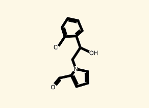 O=Cc1cccn1CC(O)c1ccccc1Cl